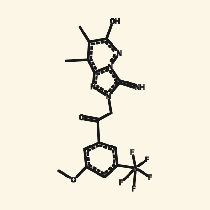 COc1cc(C(=O)Cn2nc3c(C)c(C)c(O)nn3c2=N)cc(S(F)(F)(F)(F)F)c1